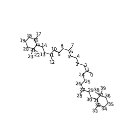 CC(CCCCC(C)CCCC(C)CCC1C(C)CCCC1(C)C)CCCC(C)CCC1C(C)CCCC1(C)C